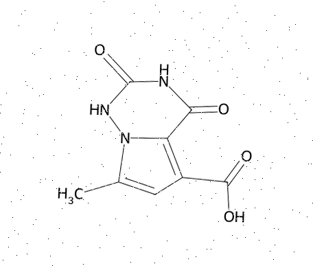 Cc1cc(C(=O)O)c2c(=O)[nH]c(=O)[nH]n12